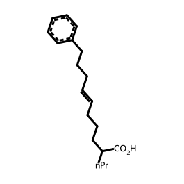 CCCC(CCC/C=C/CCCc1ccccc1)C(=O)O